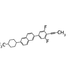 CC#Cc1c(F)cc(-c2ccc3cc(C4CCC(C)CC4)ccc3c2)cc1F